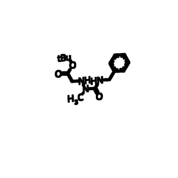 CN(NCC(=O)OC(C)(C)C)C(=O)NCc1ccccc1